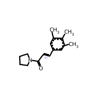 Cc1cc(/C=C/C(=O)N2CCCC2)cc(C)c1C